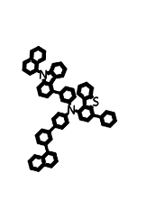 c1ccc(-c2ccc(N(c3ccc(-c4cccc(-c5cccc6ccccc56)c4)cc3)c3cccc(-c4cccc5c4c4ccccc4n5-c4cccc5ccccc45)c3)c3c2sc2ccccc23)cc1